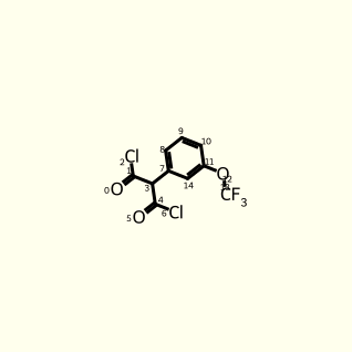 O=C(Cl)C(C(=O)Cl)c1cccc(OC(F)(F)F)c1